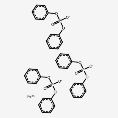 O=P([O-])(Oc1ccccc1)Oc1ccccc1.O=P([O-])(Oc1ccccc1)Oc1ccccc1.O=P([O-])(Oc1ccccc1)Oc1ccccc1.[Fe+3]